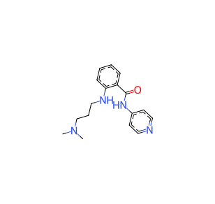 CN(C)CCCNc1ccccc1C(=O)Nc1ccncc1